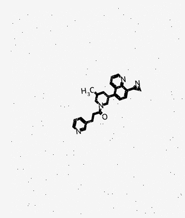 CC1CC(c2ccc(C3=NC3)c3ncccc23)CN(C(=O)CCc2cccnc2)C1